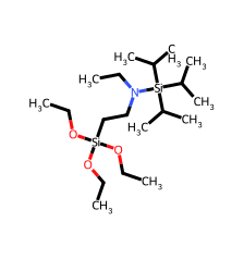 CCO[Si](CCN(CC)[Si](C(C)C)(C(C)C)C(C)C)(OCC)OCC